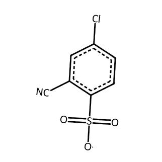 N#Cc1cc(Cl)ccc1S([O])(=O)=O